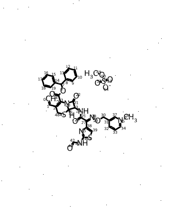 C=CC1=C(C(=O)OC(c2ccccc2)c2ccccc2)N2C(=O)C(NC(=O)C(=NOCc3ccc[n+](C)c3)c3csc(NC=O)n3)[C@@H]2SC1.COS(=O)(=O)[O-]